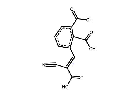 N#C/C(=C\c1cccc(C(=O)O)c1C(=O)O)C(=O)O